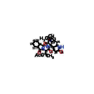 C/C=C1\C2C=C(C)CC1(NC(=O)C(C(C)OC(C)=O)N1C(=O)c3ccccc3C1=O)c1ccc(=O)[nH]c1C2